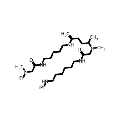 C=C(CCC(C)N(C)CC(=O)NCCCCCCNC(C)C)NCCCCCNC(=O)CN(C)C(C)C